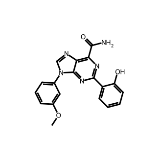 COc1cccc(-n2cnc3c(C(N)=O)nc(-c4ccccc4O)nc32)c1